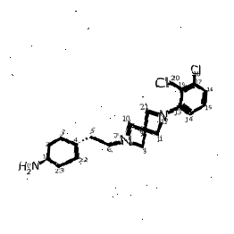 N[C@H]1CC[C@H](CCN2CC3(C2)CN(c2cccc(Cl)c2Cl)C3)CC1